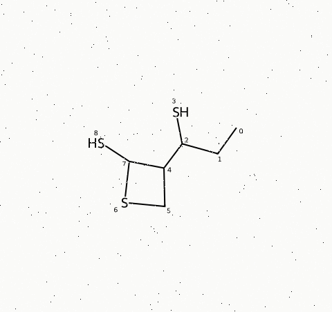 CCC(S)C1CSC1S